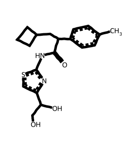 Cc1ccc(C(CC2CCC2)C(=O)Nc2nc(C(O)CO)cs2)cc1